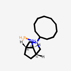 PN[C@@H]1[C@@H]2CC[C@H]1CN(C1CCCCCCCCC1)C2